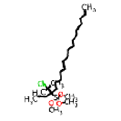 CCCCCCCCCCCCCCCCC(CCC)(C(C)(C)Cl)[Si](OC)(OC)OC